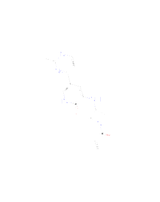 C=CC(=O)N1CC(Nc2cc(-c3ccnc(C)n3)c[nH]c2=O)C1